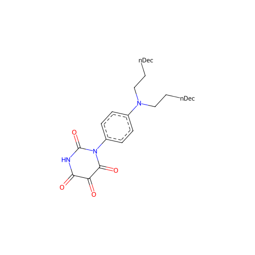 CCCCCCCCCCCCN(CCCCCCCCCCCC)c1ccc(N2C(=O)NC(=O)C(=O)C2=O)cc1